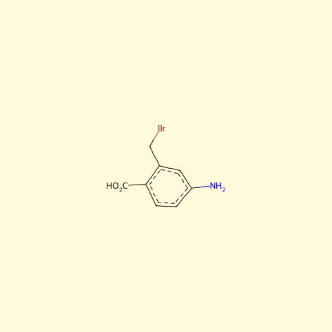 Nc1ccc(C(=O)O)c(CBr)c1